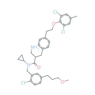 COCCCc1ccc(Cl)c(CN(C(=O)C(CN)Cc2ccc(CCOc3c(Cl)cc(C)cc3Cl)cc2)C2CC2)c1